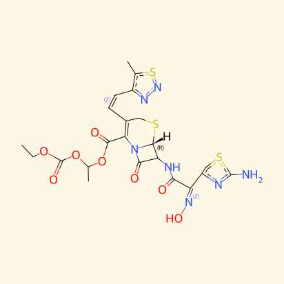 CCOC(=O)OC(C)OC(=O)C1=C(/C=C\c2nnsc2C)CS[C@@H]2C(NC(=O)/C(=N\O)c3csc(N)n3)C(=O)N12